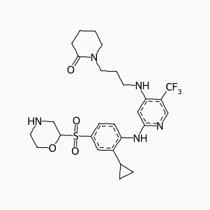 O=C1CCCCN1CCCNc1cc(Nc2ccc(S(=O)(=O)C3CNCCO3)cc2C2CC2)ncc1C(F)(F)F